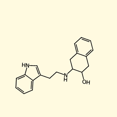 OC1Cc2ccccc2CC1NCCc1c[nH]c2ccccc12